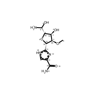 CO[C@@H]1[C@H](O)[C@@H](C(N)O)O[C@H]1c1nc(C(N)=O)c[nH]1